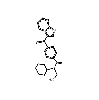 CCN(C(=O)c1ccc(C(=O)c2cnc3ncccn23)cc1)C1CCCCC1